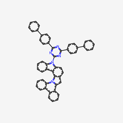 c1ccc(-c2ccc(-c3nc(-c4ccc(-c5ccccc5)cc4)nc(-n4c5ccccc5c5c4ccc4cc6c7ccccc7c7ccccc7n6c45)n3)cc2)cc1